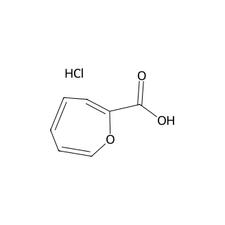 Cl.O=C(O)C1=CC=CC=CO1